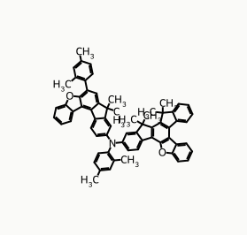 Cc1ccc(-c2cc3c(c4c2oc2ccccc24)-c2ccc(N(c4ccc5c(c4)C(C)(C)c4c6c(c7c(oc8ccccc87)c4-5)-c4ccccc4C6(C)C)c4ccc(C)cc4C)cc2C3(C)C)c(C)c1